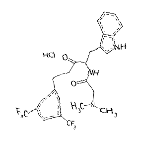 CN(C)CC(=O)NC(Cc1c[nH]c2ccccc12)C(=O)CCc1cc(C(F)(F)F)cc(C(F)(F)F)c1.Cl